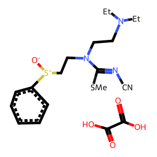 CCN(CC)CCN(CC[S+]([O-])c1ccccc1)/C(=N/C#N)SC.O=C(O)C(=O)O